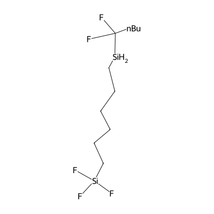 CCCCC(F)(F)[SiH2]CCCCCC[Si](F)(F)F